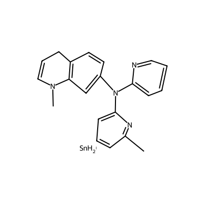 Cc1cccc(N(c2ccc3c(c2)N(C)C=CC3)c2ccccn2)n1.[SnH2]